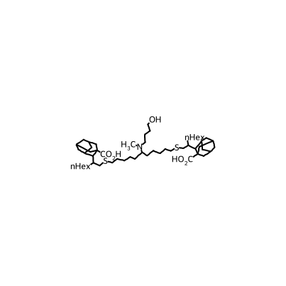 CCCCCCC(CSCCCCCC(CCCCCSCC(CCCCCC)C1C2CC3CC(C2)CC1(C(=O)O)C3)N(C)CCCCO)C1C2CC3CC(C2)CC1(C(=O)O)C3